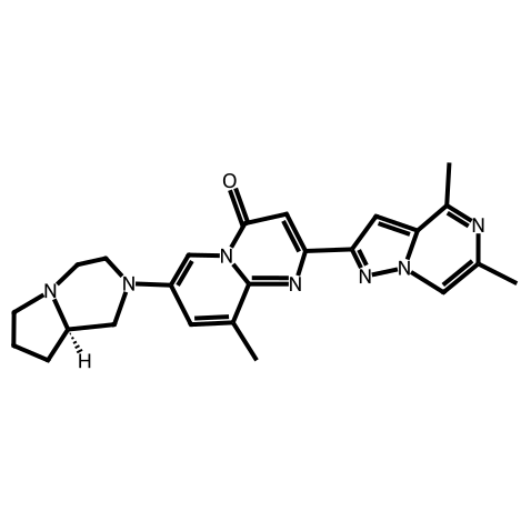 Cc1cn2nc(-c3cc(=O)n4cc(N5CCN6CCC[C@@H]6C5)cc(C)c4n3)cc2c(C)n1